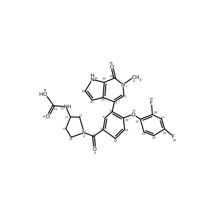 Cn1cc(-c2cc(C(=O)N3CCC(NC(=O)O)C3)ccc2Oc2ccc(F)cc2F)c2cc[nH]c2c1=O